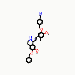 COc1cc(C)c(/C=C/C2NCCc3cc(OCc4ccccc4)c(OC)cc32)cc1OCc1ccc(C#N)cc1